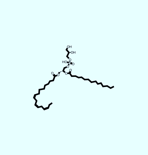 CC/C=C\C/C=C\C/C=C\CCCCCCCC(=O)OC[C@H](COP(=O)(O)OC[C@@H](O)CO)OC(=O)CCCCCCCCCCCCCC